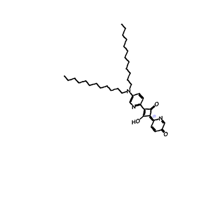 CCCCCCCCCCCCN(CCCCCCCCCCCC)c1ccc(C2=C(O)/C(=C3\C=CC(=O)C=N3)C2=O)nc1